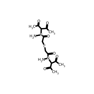 CC(=O)C(C(C)=O)N(N)C(=O)CCCC(=O)N(N)C(C(C)=O)C(C)=O